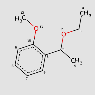 CCOC(C)c1ccccc1OC